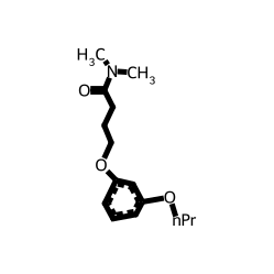 CCCOc1cccc(OCCCC(=O)N(C)C)c1